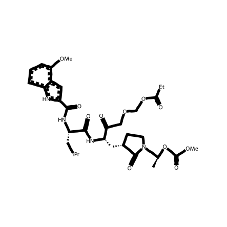 CCC(=O)OCOCC(=O)[C@H](C[C@@H]1CCN([C@H](C)OC(=O)OC)C1=O)NC(=O)[C@H](CC(C)C)NC(=O)c1cc2c(OC)cccc2[nH]1